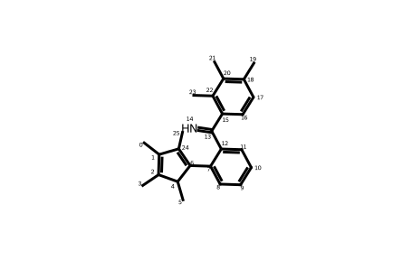 CC1=C(C)C(C)C(c2ccccc2C(=N)c2ccc(C)c(C)c2C)=C1C